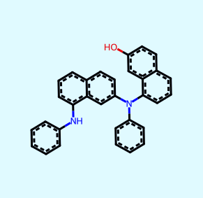 Oc1ccc2cccc(N(c3ccccc3)c3ccc4cccc(Nc5ccccc5)c4c3)c2c1